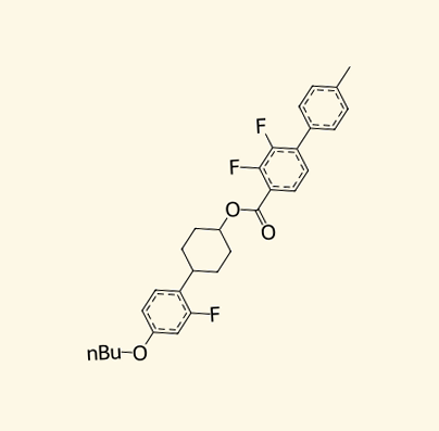 CCCCOc1ccc(C2CCC(OC(=O)c3ccc(-c4ccc(C)cc4)c(F)c3F)CC2)c(F)c1